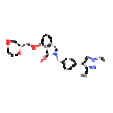 Cc1nn(C)cc1-c1ccc(CN2Cc3cccc(OCC4COCCO4)c3C2=O)cc1